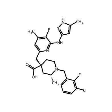 Cc1cc(Nc2nc(C[C@@]3(C(=O)O)CCN(Cc4cccc(Cl)c4F)[C@H](C)C3)cc(C)c2F)n[nH]1